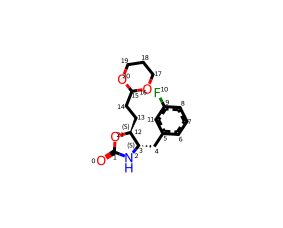 O=C1N[C@@H](Cc2cccc(F)c2)[C@H](CCC2OCCCO2)O1